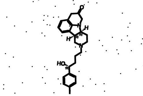 Cc1ccc([C@H](O)CCCN2CC[C@H]3[C@@H](C2)c2cccc4c2N3CC(=O)C4)cc1